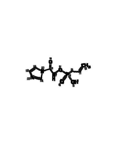 C=CCP(=O)(O)ONC(=O)n1ccnc1